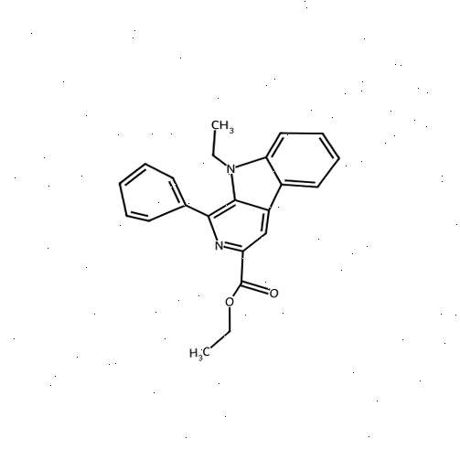 CCOC(=O)c1cc2c3ccccc3n(CC)c2c(-c2ccccc2)n1